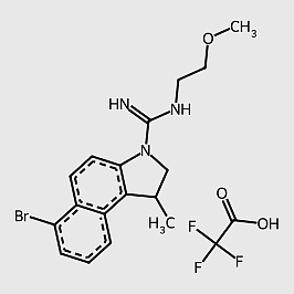 COCCNC(=N)N1CC(C)c2c1ccc1c(Br)cccc21.O=C(O)C(F)(F)F